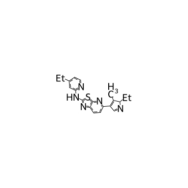 CCc1ccnc(Nc2nc3ccc(C4=C(C)C(CC)N=C4)nc3s2)c1